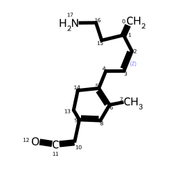 C=C(/C=C\CC1=C(C)C=C(C=C=O)CC1)CCN